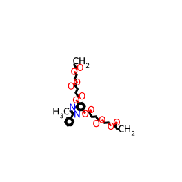 C=CC(=O)OCCOC(=O)CCC(=O)Oc1ccc(OC(=O)CCC(=O)OCCOC(=O)C=C)c2nc(-c3ccccc3)c(C)nc12